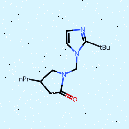 CCCC1CC(=O)N(Cn2ccnc2C(C)(C)C)C1